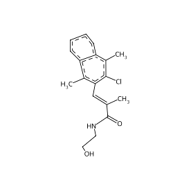 C/C(=C\c1c(Cl)c(C)c2ccccc2c1C)C(=O)NCCO